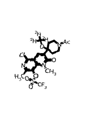 [2H]C([2H])([2H])OC1(c2cc3c(Cl)nc(C)c(OS(=O)(=O)C(F)(F)F)c3n(C)c2=O)CCN(C(C)=O)CC1